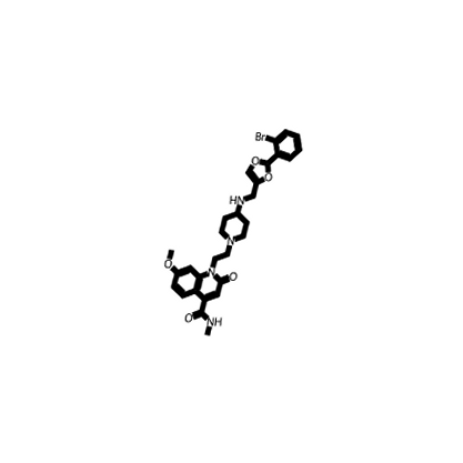 CNC(=O)c1cc(=O)n(CCN2CCC(NCC3=COC(c4ccccc4Br)O3)CC2)c2cc(OC)ccc12